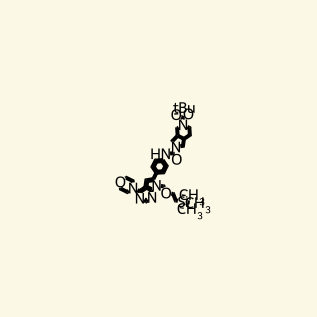 CC(C)(C)OC(=O)N1CCC2CN(C(=O)Nc3ccc(-c4cc5c(N6CCOCC6)ncnc5n4COCC[Si](C)(C)C)cc3)CC2C1